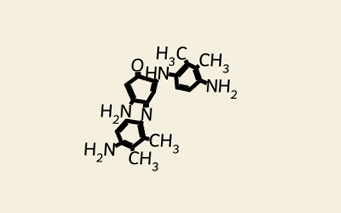 Cc1c(N)ccc(N=C2C=C(Nc3ccc(N)c(C)c3C)C(=O)C=C2N)c1C